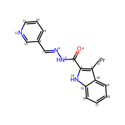 CC(C)c1c(C(=O)NN=Cc2cccnc2)[nH]c2ccccc12